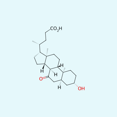 C[C@H](CCC(=O)O)[C@H]1CC[C@H]2[C@@H]3C(=O)C[C@@H]4C[C@@H](O)CC[C@]4(C)[C@H]3CC[C@]12C